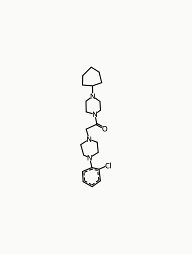 O=C(CN1CCN(c2ccccc2Cl)CC1)N1CCN(C2CCCCC2)CC1